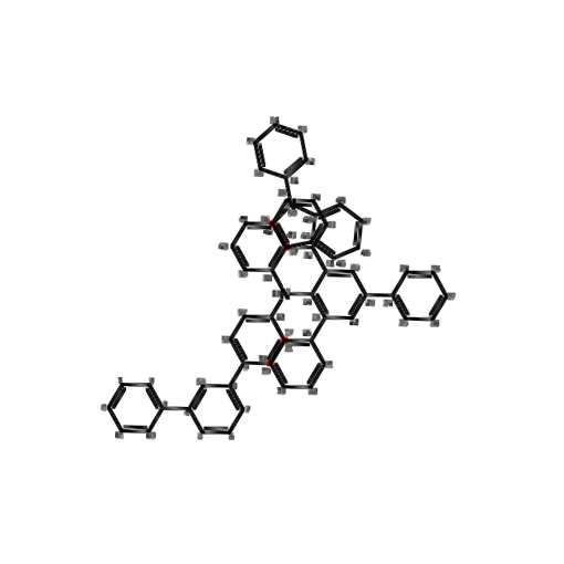 c1ccc(-c2cccc(-c3ccc(N(c4c(-c5ccccc5)cc(-c5ccccc5)cc4-c4ccccc4)c4cccc5c4c4ccccc4n5-c4ccccc4)cc3)c2)cc1